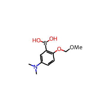 COCOc1ccc(N(C)C)cc1B(O)O